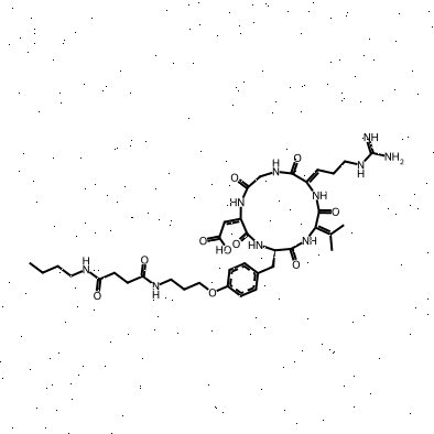 CCCCNC(=O)CCC(=O)NCCCOc1ccc(C[C@H]2NC(=O)/C(=C\C(=O)O)NC(=O)CNC(=O)/C(=C/CCNC(=N)N)NC(=O)C(=C(C)C)NC2=O)cc1